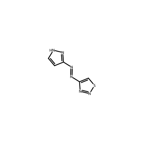 c1cc(N=Nc2csnn2)n[nH]1